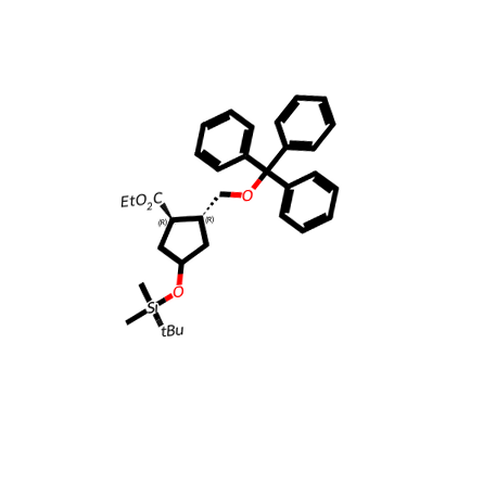 CCOC(=O)[C@@H]1CC(O[Si](C)(C)C(C)(C)C)C[C@H]1COC(c1ccccc1)(c1ccccc1)c1ccccc1